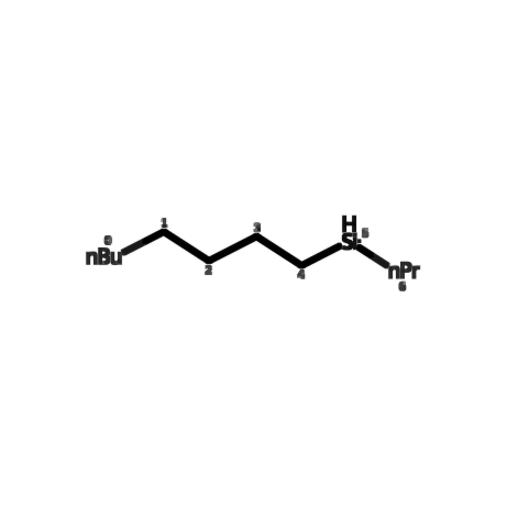 CCCCCCCC[SiH]CCC